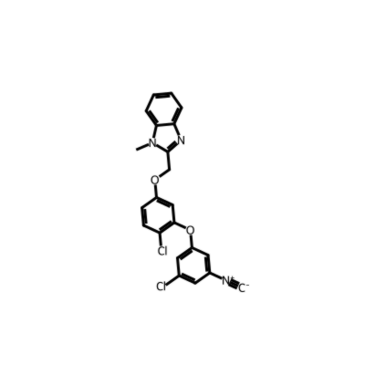 [C-]#[N+]c1cc(Cl)cc(Oc2cc(OCc3nc4ccccc4n3C)ccc2Cl)c1